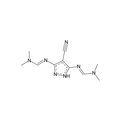 CN(C)/C=N/c1n[nH]c(/N=C/N(C)C)c1C#N